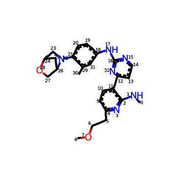 CNc1nc(CCOC)ccc1-c1ccnc(Nc2ccc(N3CC4CC3CO4)c(C)c2)n1